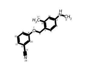 CNc1ccc(COc2cccc(C#N)c2)c(C)c1